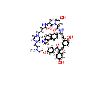 CCN(CCOc1ccc(C(=O)c2c(-c3ccc(O)cc3)sc3cc(O)ccc23)cc1)CCN1CCN(CCCC(=O)NC(C(=O)N2C[C@H](O)C[C@H]2C(=O)N[C@@H](C)c2ccc(-c3scnc3C)cc2)C(C)(C)C)CC1